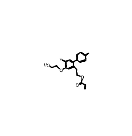 C=CC(=O)OCCc1cc(OCCO)c(F)cc1-c1ccc(C)cc1